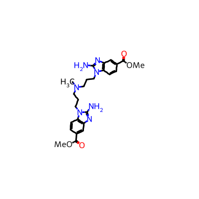 COC(=O)c1ccc2c(c1)nc(N)n2CCCN(C)CCCn1c(N)nc2cc(C(=O)OC)ccc21